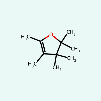 CC1=C(C)C(C)(C)C(C)(C)O1